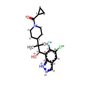 CC(C)(C1CCN(C(=O)C2CC2)CC1)[C@H](O)c1c(F)c(Cl)cc2cn[nH]c12